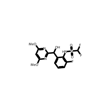 COc1cc(OC)nc(C(O)c2cccc(F)c2NS(=O)(=O)C(F)F)n1